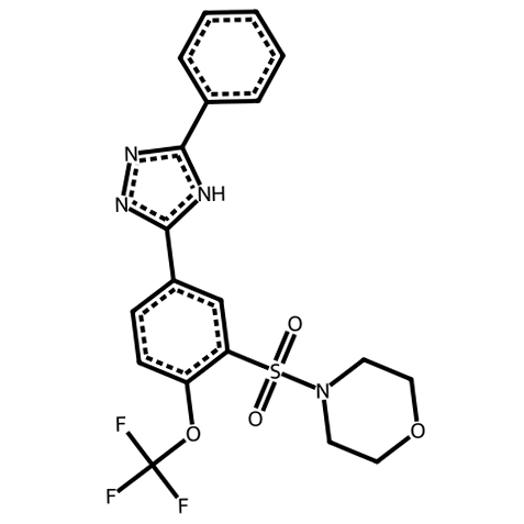 O=S(=O)(c1cc(-c2nnc(-c3ccccc3)[nH]2)ccc1OC(F)(F)F)N1CCOCC1